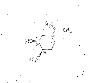 C=C(C)[C@@H]1CC[C@@H](C)[C@@H](O)C1